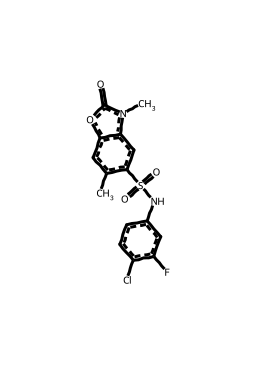 Cc1cc2oc(=O)n(C)c2cc1S(=O)(=O)Nc1ccc(Cl)c(F)c1